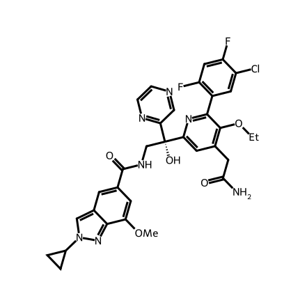 CCOc1c(CC(N)=O)cc([C@@](O)(CNC(=O)c2cc(OC)c3nn(C4CC4)cc3c2)c2cnccn2)nc1-c1cc(Cl)c(F)cc1F